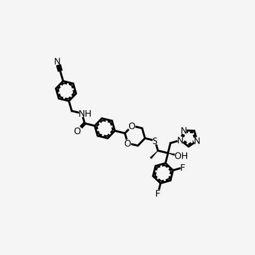 C[C@@H](SC1COC(c2ccc(C(=O)NCc3ccc(C#N)cc3)cc2)OC1)[C@](O)(Cn1cncn1)c1ccc(F)cc1F